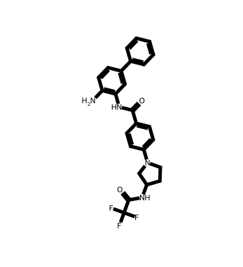 Nc1ccc(-c2ccccc2)cc1NC(=O)c1ccc(N2CCC(NC(=O)C(F)(F)F)C2)cc1